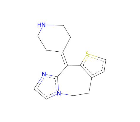 c1cn2c(n1)C(=C1CCNCC1)c1sccc1CC2